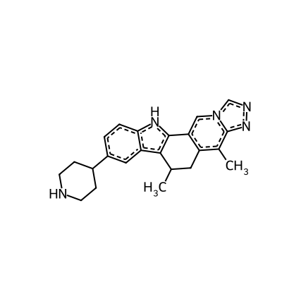 Cc1c2c(cn3cnnc13)-c1[nH]c3ccc(C4CCNCC4)cc3c1C(C)C2